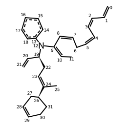 C=C/C=C\C=C/C/C=C\C(=C/C)N(c1ccccc1)[C@H](C=C)C/C=C(\C)[C@@H]1CC=CCC1